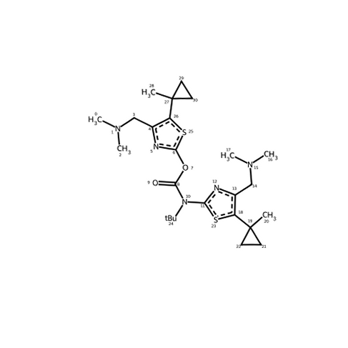 CN(C)Cc1nc(OC(=O)N(c2nc(CN(C)C)c(C3(C)CC3)s2)C(C)(C)C)sc1C1(C)CC1